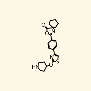 O=C1OC(c2ccc(-c3csc(OC4CCNCC4)n3)cc2)=NC12CCCCC2